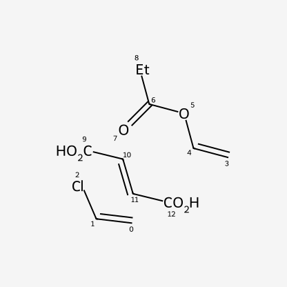 C=CCl.C=COC(=O)CC.O=C(O)C=CC(=O)O